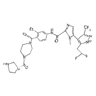 CCc1cc(NC(=O)c2ncc(-c3c(C(F)(F)F)n[nH]c3CC(F)F)n2C)ccc1C(=O)N1CCN(C(=O)[C@@H]2CCNC2)CC1